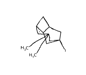 CC1(C)C=C2CC3CC(I)(CC23)C1